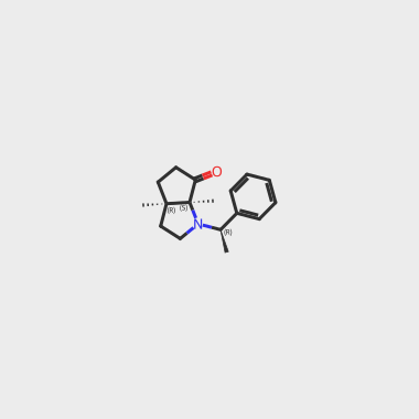 C[C@H](c1ccccc1)N1CC[C@@]2(C)CCC(=O)[C@@]12C